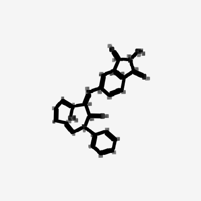 C/C1=C\C=C/C=C/N(c2ccccc2)C(=O)\C1=N/c1ccc2c(c1)C(=O)N(C)C2=O